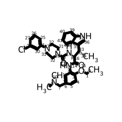 CCOc1ccc(CN(C)C)cc1NC(=O)[C@H](NC(=O)N1CCN(c2cccc(Cl)c2)CC1)[C@@H](C)c1c[nH]c2ccccc12